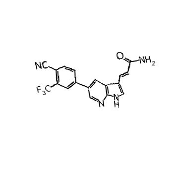 N#Cc1ccc(-c2cnc3[nH]cc(/C=C/C(N)=O)c3c2)cc1C(F)(F)F